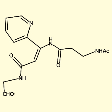 CC(=O)NCCC(=O)NC(=CC(=O)NC[C]=O)c1ccccn1